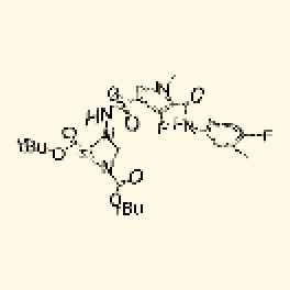 Cc1cc(NC(=O)c2c(F)c(S(=O)(=O)N[C@H]3CN(C(=O)OC(C)(C)C)C[C@@H]3C(=O)OC(C)(C)C)cn2C)ccc1F